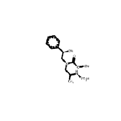 CC(CN(C[C@H](O)c1ccccc1)C(=O)OC(C)(C)C)NC(=O)O